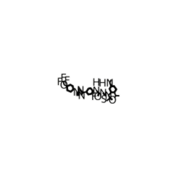 CNc1ccc(C(C)C)c(N2C(=O)CSC2=NC(=O)Nc2ccc(-c3ncn(-c4ccc(OC(F)(F)F)cc4)n3)cc2F)c1